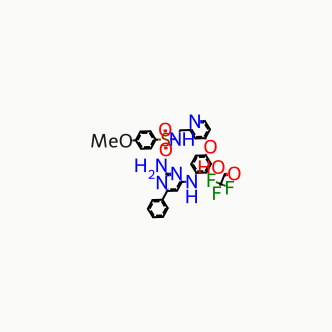 COc1ccc(S(=O)(=O)NCc2cc(Oc3ccc(Nc4cc(-c5ccccc5)nc(N)n4)cc3)ccn2)cc1.O=C(O)C(F)(F)F